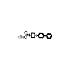 CC(C)(C)OC(=O)N1CCN(c2ccc(-c3ccccc3)cc2)CC1